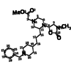 COC(=O)CN1CCN(C2CN(C)C(=O)O2)C(CCCC2CCN(Cc3ccccc3)CC2)C1